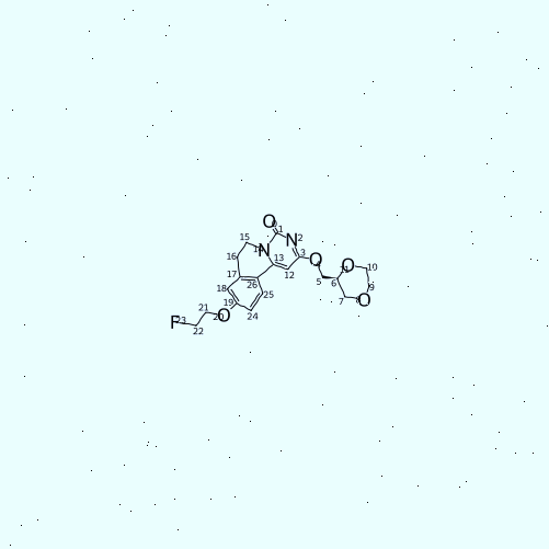 O=c1nc(OC[C@@H]2COCCO2)cc2n1CCc1cc(OCCF)ccc1-2